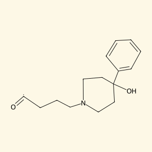 O=[C]CCCN1CCC(O)(c2ccccc2)CC1